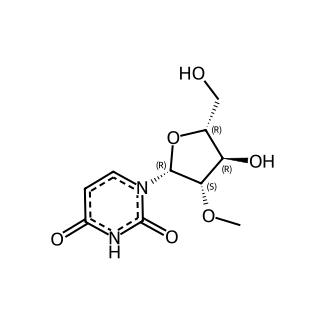 CO[C@H]1[C@H](O)[C@@H](CO)O[C@H]1n1ccc(=O)[nH]c1=O